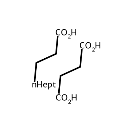 CCCCCCCCCC(=O)O.O=C(O)CCC(=O)O